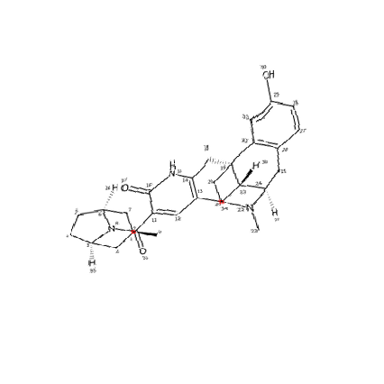 C[C@H]1C[C@H]2CC[C@@H](C1)N2C(=O)c1cc2c([nH]c1=O)C[C@]13CCN(C)[C@H](Cc4ccc(O)cc41)[C@@H]3C2